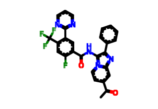 CC(=O)c1ccn2c(NC(=O)c3cc(-c4ncccn4)c(C(F)(F)F)cc3F)c(-c3ccccc3)nc2c1